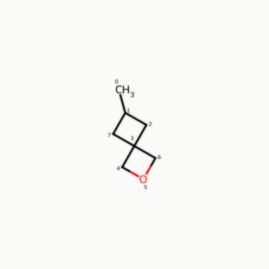 CC1CC2(COC2)C1